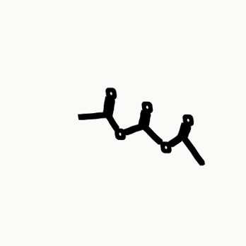 CC(=O)OC(=O)OC(C)=O